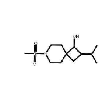 CC(C)C1CC2(CCN(S(C)(=O)=O)CC2)C1O